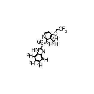 [2H]c1c([2H])c([2H])c2[nH]c([S+]([O-])Cc3nccc(OCC(F)(F)F)c3C([2H])([2H])[2H])nc2c1[2H]